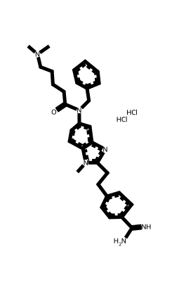 CN(C)CCCCC(=O)N(Cc1ccccc1)c1ccc2c(c1)nc(CCc1ccc(C(=N)N)cc1)n2C.Cl.Cl